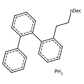 CCCCCCCCCCCCc1ccccc1-c1ccccc1-c1ccccc1.P